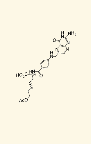 CC(=O)OCCSSC[C@H](NC(=O)c1ccc(NCc2cnc3nc(N)[nH]c(=O)c3n2)cc1)C(=O)O